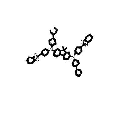 C/C=C\C(=C/C)c1ccc(N(c2ccc(-c3nc4ccccc4o3)cc2)c2ccc3c(c2)C(C)(C)c2cc(N(c4ccc(-c5ccccc5)cc4)c4ccc(-c5nc6ccccc6o5)cc4)ccc2-3)cc1